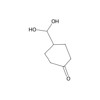 O=C1CCC(C(O)O)CC1